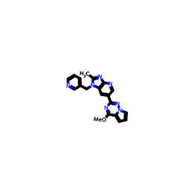 COc1nc(-c2cnc3nc(C)n(Cc4cccnc4)c3c2)nn2cccc12